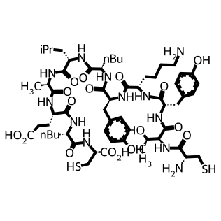 CCCC[C@H](NC(=O)[C@H](CCC(=O)O)NC(=O)[C@H](C)NC(=O)[C@H](CC(C)C)NC(=O)[C@H](CCCC)NC(=O)[C@H](Cc1ccc(O)cc1)NC(=O)[C@H](CCCCN)NC(=O)[C@H](Cc1ccc(O)cc1)NC(=O)[C@@H](NC(=O)[C@@H](N)CS)[C@@H](C)O)C(=O)N[C@@H](CS)C(=O)O